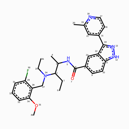 CCC(C(C)NC(=O)c1ccc2[nH]nc(-c3ccnc(C)c3)c2c1)N(CC)Cc1c(F)cccc1OC